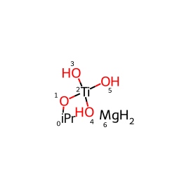 CC(C)[O][Ti]([OH])([OH])[OH].[MgH2]